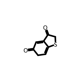 O=C1C=C2C(=O)CSC2=CC1